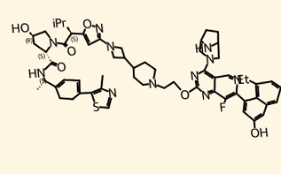 CCc1cccc2cc(O)cc(-c3ncc4c(N5CC6CCC(C5)N6)nc(OCCN5CCC(C6CN(c7cc([C@@H](C(=O)N8C[C@H](O)C[C@H]8C(=O)N[C@@H](C)C8=CC=C(c9scnc9C)CC8)C(C)C)on7)C6)CC5)nc4c3F)c12